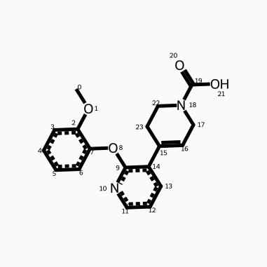 COc1ccccc1Oc1ncccc1C1=CCN(C(=O)O)CC1